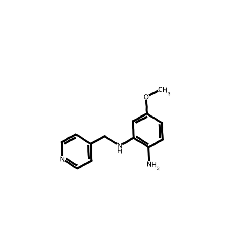 COc1ccc(N)c(NCc2ccncc2)c1